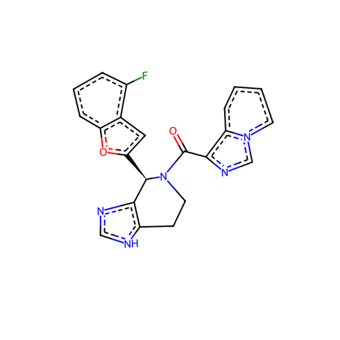 O=C(c1ncn2ccccc12)N1CCc2[nH]cnc2[C@H]1c1cc2c(F)cccc2o1